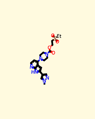 CCS(=O)(=O)CCOC(=O)N1CCN(c2ccnc3[nH]c(-c4cnn(C)c4)cc23)CC1